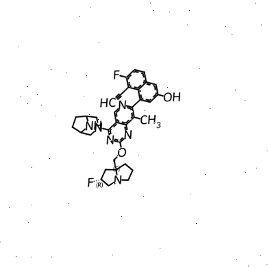 C#Cc1c(F)ccc2cc(O)cc(-c3ncc4c(N5CC6CCC(C5)N6)nc(OC[C@@]56CCCN5C[C@H](F)C6)nc4c3C)c12